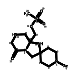 CC(=O)N1CCC2(CC1)CN1C(=O)CNCC1(COS(=O)(=O)C(F)(F)F)N2